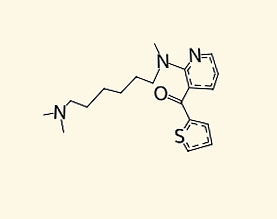 CN(C)CCCCCCN(C)c1ncccc1C(=O)c1cccs1